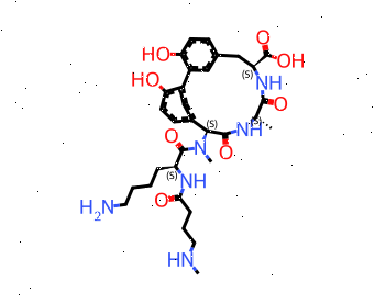 CNCCCC(=O)N[C@@H](CCCCN)C(=O)N(C)[C@@H]1C(=O)N[C@@H](C)C(=O)N[C@H](C(=O)O)Cc2ccc(O)c(c2)-c2cc1ccc2O